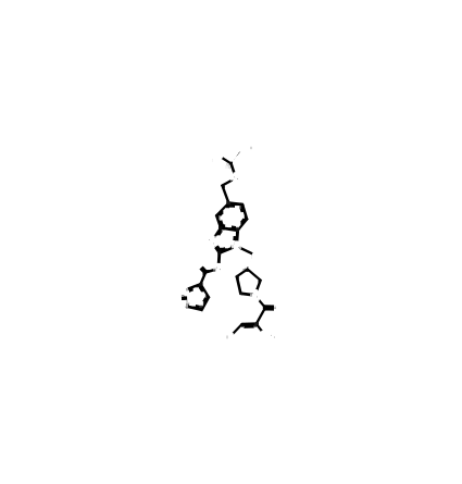 C[C@H](NCc1ccc2c(c1)nc(NC(=O)c1ccno1)n2C[C@H]1CCN(C(=O)C(C#N)=CC(C)(C)C)C1)C(C)(C)C